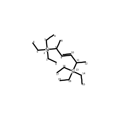 CC[Si](CC)(CC)C(C)C=CC(C)[Si](CC)(CC)CC